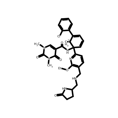 CCOc1nc(C2(NC(=O)c3cn(C)c(=O)n(C)c3=O)C=CC=C(c3ccccc3Cl)[C@@H]2C)ccc1CNCC1CCC(=O)N1